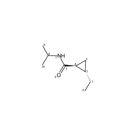 CC[C@H]1C[C@@H]1C(=O)NC(C)C